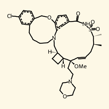 CO[C@]1(CCN2CCOCC2)/C=C/C[C@H](C)[C@@H](C)S(=O)(=O)NC(=O)c2ccc3c(c2)N(CCCCc2cc(Cl)ccc2CO3)C[C@@H]2CC[C@H]21